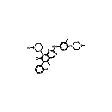 CC(=O)N1CCCC(n2c(=O)c(-c3ccccc3F)c(C)c3cnc(Nc4ccc(N5CCN(C)CC5)c(C)c4)nc32)C1